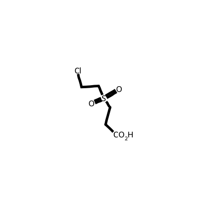 O=C(O)CCS(=O)(=O)CCCl